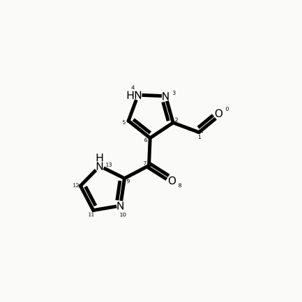 O=[C]c1n[nH]cc1C(=O)c1ncc[nH]1